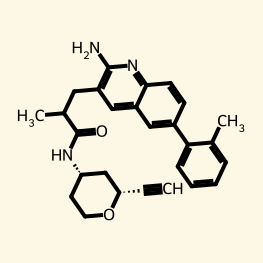 C#C[C@H]1C[C@@H](NC(=O)C(C)Cc2cc3cc(-c4ccccc4C)ccc3nc2N)CCO1